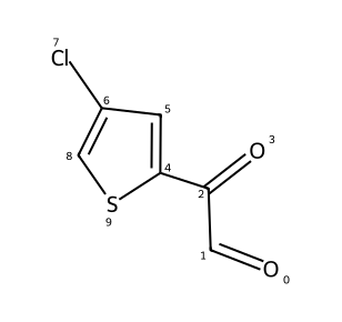 O=CC(=O)c1cc(Cl)cs1